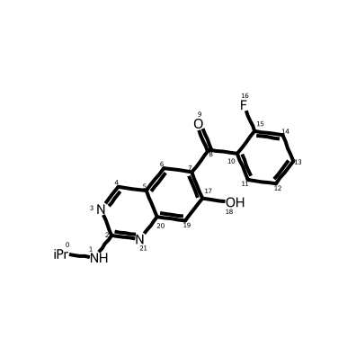 CC(C)Nc1ncc2cc(C(=O)c3ccccc3F)c(O)cc2n1